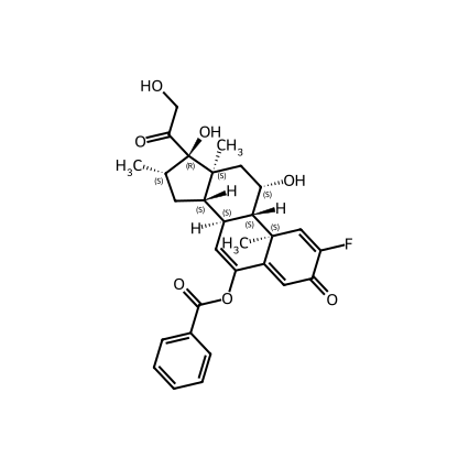 C[C@H]1C[C@H]2[C@@H]3C=C(OC(=O)c4ccccc4)C4=CC(=O)C(F)=C[C@]4(C)[C@H]3[C@@H](O)C[C@]2(C)[C@@]1(O)C(=O)CO